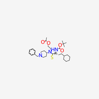 CC(=O)OCCN(C(=S)[C@@H](CCC1CCCCC1)NC(=O)OC(C)(C)C)C1CCN(Cc2ccccc2)CC1